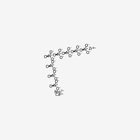 O=[N+]([O-])[O-].O=[N+]([O-])[O-].O=[N+]([O-])[O-].O=[N+]([O-])[O-].O=[N+]([O-])[O-].O=[N+]([O-])[O-].O=[N+]([O-])[O-].O=[N+]([O-])[O-].[Ca+2].[Mg+2].[Zr+4]